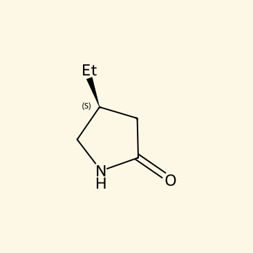 CC[C@@H]1CNC(=O)C1